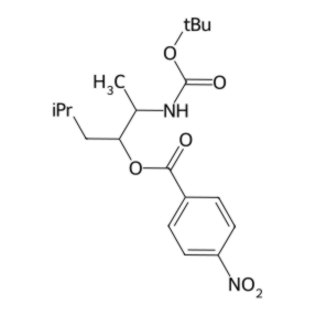 CC(C)CC(OC(=O)c1ccc([N+](=O)[O-])cc1)C(C)NC(=O)OC(C)(C)C